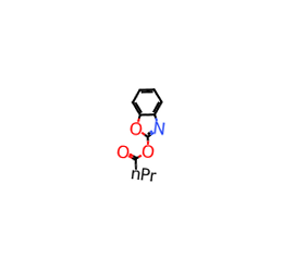 CCCC(=O)Oc1nc2ccccc2o1